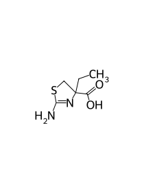 CCC1(C(=O)O)CSC(N)=N1